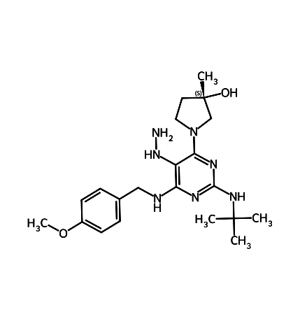 COc1ccc(CNc2nc(NC(C)(C)C)nc(N3CC[C@](C)(O)C3)c2NN)cc1